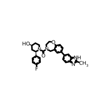 Cc1nc2ccc(-c3ccc4c(c3)CN(C(=O)N3CC[C@H](O)C[C@@H]3c3ccc(F)cc3)CCO4)cc2[nH]1